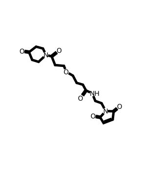 O=C1CCN(C(=O)CCOCCCC(=O)NCCN2C(=O)C=CC2=O)CC1